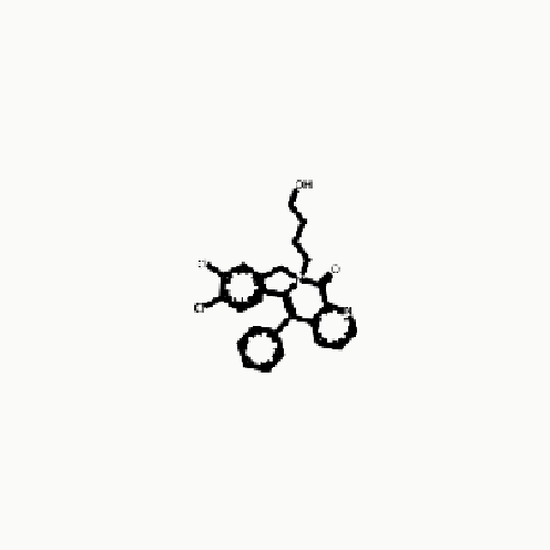 NC(=O)C1=C(c2ccccc2)c2cccnc2C(=O)[N+]1(CCCCO)Cc1ccc(Cl)c(Cl)c1